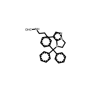 O=CNCCCc1cnn2c1N(C(c1ccccc1)(c1ccccc1)c1ccccc1)CC2